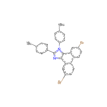 CC(C)(C)c1ccc(-c2nc3c4cc(Br)ccc4c4ccc(Br)cc4c3n2-c2ccc(C(C)(C)C)cc2)cc1